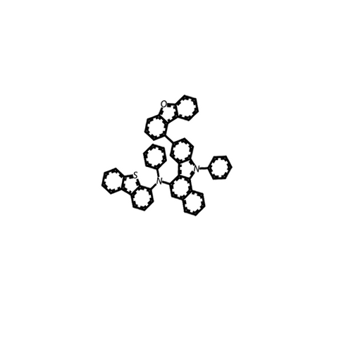 c1ccc(N(c2cccc3c2sc2ccccc23)c2cc3ccccc3c3c2c2cc(-c4cccc5oc6ccccc6c45)ccc2n3-c2ccccc2)cc1